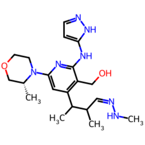 CN/N=C\C(C)C(C)c1cc(N2CCOC[C@H]2C)nc(Nc2ccn[nH]2)c1CO